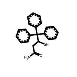 NC(=O)CC(S)C(c1ccccc1)(c1ccccc1)c1ccccc1